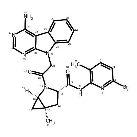 Cc1ccc(Br)nc1NC(=O)[C@@H]1C[C@@]2(C)C[C@H]2N1C(=O)Cn1c2ccccc2c2c(N)ncnc21